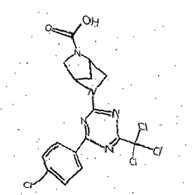 O=C(O)N1CC2CC1CN2c1nc(-c2ccc(Cl)cc2)nc(C(Cl)(Cl)Cl)n1